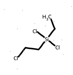 CC[Si](Cl)(Cl)CCCl